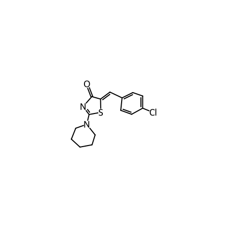 O=C1N=C(N2CCCCC2)SC1=Cc1ccc(Cl)cc1